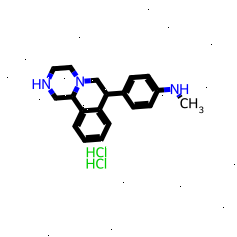 CNc1ccc(C2CN3CCNCC3c3ccccc32)cc1.Cl.Cl